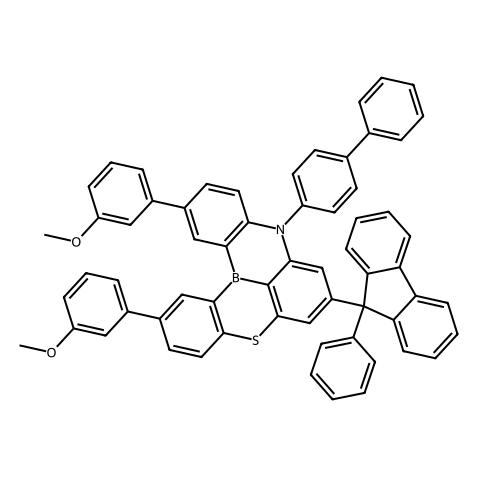 COc1cccc(-c2ccc3c(c2)B2c4cc(-c5cccc(OC)c5)ccc4N(c4ccc(-c5ccccc5)cc4)c4cc(C5(c6ccccc6)c6ccccc6-c6ccccc65)cc(c42)S3)c1